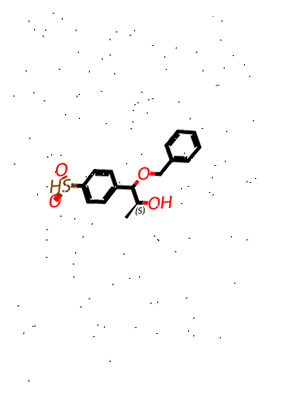 C[C@H](O)C(OCc1ccccc1)c1ccc([SH](=O)=O)cc1